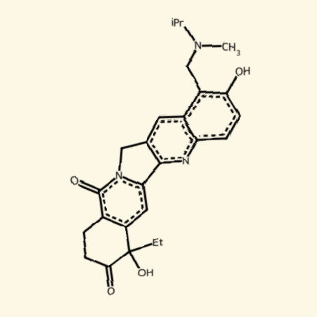 CCC1(O)C(=O)CCc2c1cc1n(c2=O)Cc2cc3c(CN(C)C(C)C)c(O)ccc3nc2-1